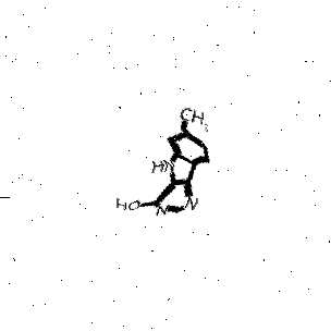 Cc1ccc2c(c1)[nH]c1c(O)ncnc12